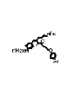 CCCC/C=C/CCC(Cc1ccc(OCCCCCC)cc1)[C@H](C)C(=O)CCCOc1ccc(C(C)=O)cc1